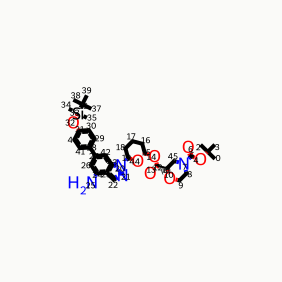 CC(C)(C)OC(=O)N1CCO[C@@H](C(=O)OC2CCCC(n3ncc4c(N)cc(-c5ccc(O[Si](C)(C)C(C)(C)C)cc5)cc43)O2)C1